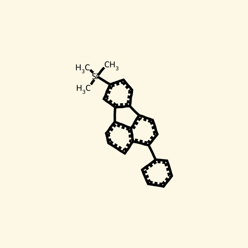 C[Si](C)(C)c1ccc2c(c1)-c1cccc3c(-c4ccccc4)ccc-2c13